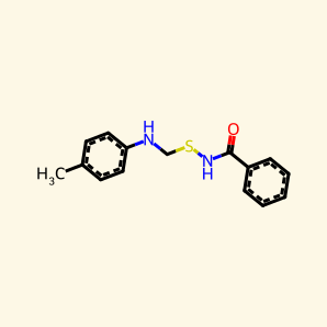 Cc1ccc(NCSNC(=O)c2ccccc2)cc1